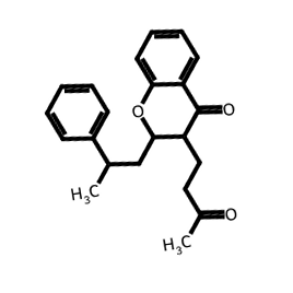 CC(=O)CCC1C(=O)c2ccccc2OC1CC(C)c1ccccc1